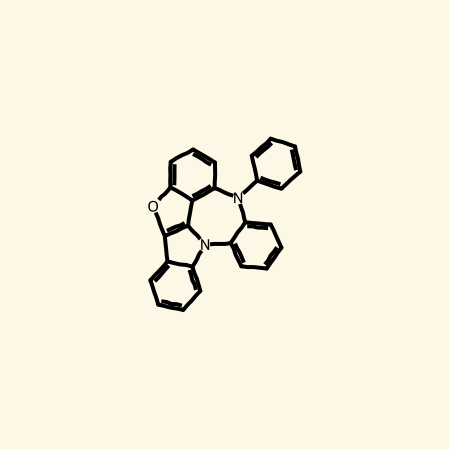 c1ccc(-n2c3cccc4oc5c6ccccc6n(c6ccccc62)c5c43)cc1